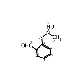 CN(Sc1ccccc1C=O)[N+](=O)[O-]